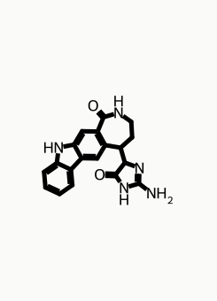 NC1=NC(C2CCNC(=O)c3cc4[nH]c5ccccc5c4cc32)C(=O)N1